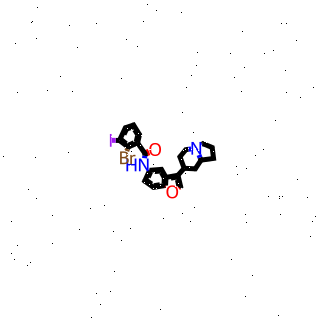 O=C(Nc1ccc2occ(C3CCN4CCCC4C3)c2c1)c1cccc(I)c1Br